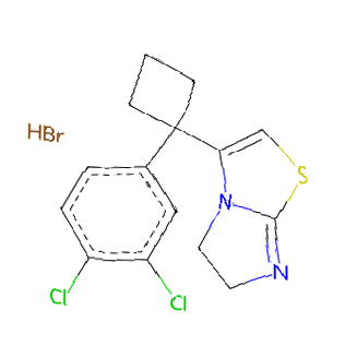 Br.Clc1ccc(C2(C3=CSC4=NCCN34)CCC2)cc1Cl